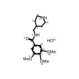 COc1cc(C(=O)NCC2CCNCC2)cc(OC)c1OC.Cl